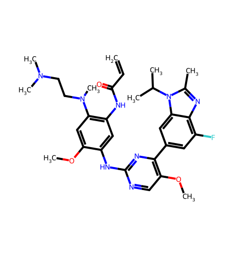 C=CC(=O)Nc1cc(Nc2ncc(OC)c(-c3cc(F)c4nc(C)n(C(C)C)c4c3)n2)c(OC)cc1N(C)CCN(C)C